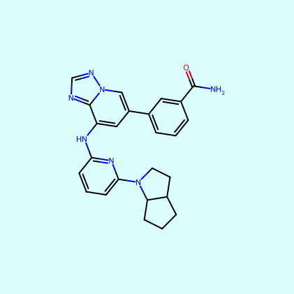 NC(=O)c1cccc(-c2cc(Nc3cccc(N4CCC5CCCC54)n3)c3ncnn3c2)c1